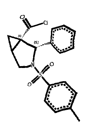 Cc1ccc(S(=O)(=O)N2CC3C[C@@]3(C(=O)Cl)[C@@H]2c2ccccc2)cc1